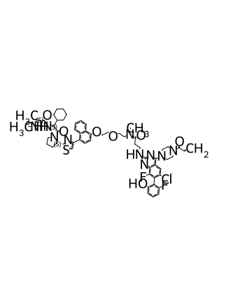 C=CC(=O)N1CCN(c2nc(NCCC(=O)N(C)CCOCCOc3ccc(-c4csc([C@@H]5CCCN5C(=O)[C@@H](NC(=O)[C@H](C)NC)C5CCCCC5)n4)c4ccccc34)nc3c(F)c(-c4c(O)cccc4F)c(Cl)cc23)CC1